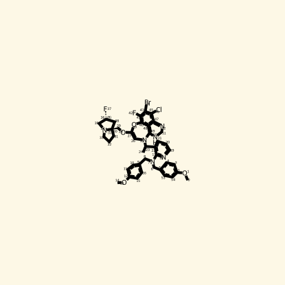 COc1ccc(CN(Cc2ccc(OC)cc2)c2ncccc2C(C)N2C=C(OC[C@@]34CCCN3C[C@H](F)C4)Oc3c(F)c(Br)c(Cl)c4c3=C2NCN=4)cc1